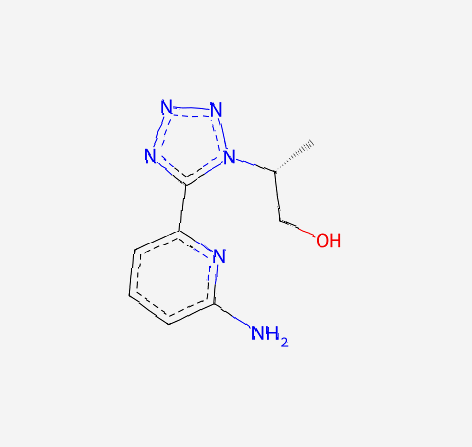 C[C@H](CO)n1nnnc1-c1cccc(N)n1